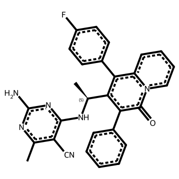 Cc1nc(N)nc(N[C@@H](C)c2c(-c3ccccc3)c(=O)n3ccccc3c2-c2ccc(F)cc2)c1C#N